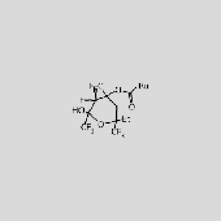 CCC(C)C(=O)OC1(C(F)(F)F)CC(CC)(C(F)(F)F)OC(O)(C(F)(F)F)C1(F)F